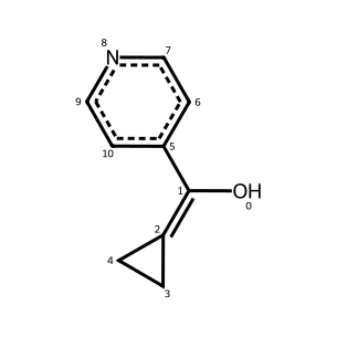 OC(=C1CC1)c1ccncc1